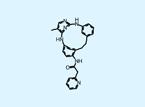 Cc1cnc2nc1Nc1ccc(NC(=O)Cc3ccccn3)c(c1)CCc1cccc(c1)N2